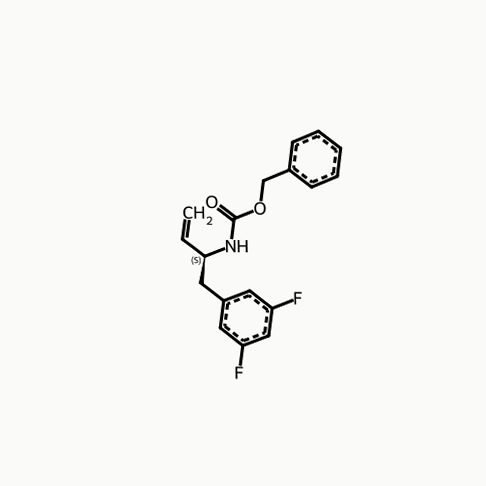 C=C[C@H](Cc1cc(F)cc(F)c1)NC(=O)OCc1ccccc1